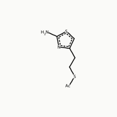 CC(=O)SCCc1csc(N)n1